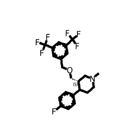 CN1CCC(c2ccc(F)cc2)[C@H](COCc2cc(C(F)(F)F)cc(C(F)(F)F)c2)C1